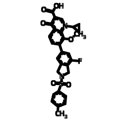 COc1c(-c2cc(F)c3c(c2)CN(S(=O)(=O)c2ccc(C)cc2)C3)ccc2c(=O)c(C(=O)O)cn(C3CC3)c12